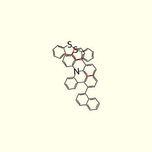 c1ccc(-c2cccc3ccccc23)c(-c2ccccc2N(c2ccccc2-c2ccc3sc4ccccc4c3c2)c2cccc3sc4ccccc4c23)c1